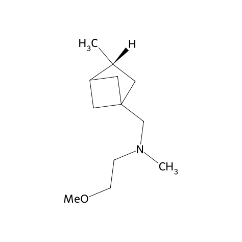 COCCN(C)CC12CC(C1)[C@H](C)C2